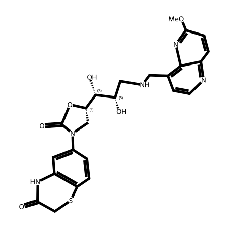 COc1ccc2nccc(CNC[C@H](O)[C@@H](O)[C@@H]3CN(c4ccc5c(c4)NC(=O)CS5)C(=O)O3)c2n1